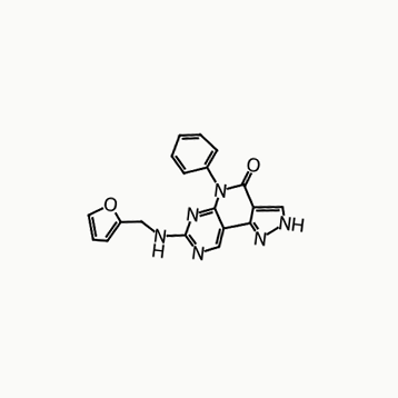 O=c1c2c[nH]nc2c2cnc(NCc3ccco3)nc2n1-c1ccccc1